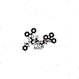 CO/N=C(\C(=O)NC1C(=O)N2C(C(=O)OC(c3ccccc3)c3ccccc3)=C(Sc3nc4ccccc4s3)CS[C@H]12)c1csc(NC(c2ccccc2)(c2ccccc2)c2ccccc2)n1